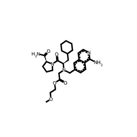 COCCOC(=O)CN(Cc1ccc2c(N)nccc2c1)[C@H](CC1CCCCC1)C(=O)N1CCC[C@H]1C(N)=O